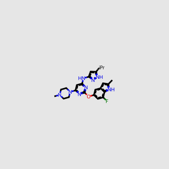 Cc1cc2cc(Oc3nc(Nc4cc(C(C)C)[nH]n4)cc(N4CCN(C)CC4)n3)cc(F)c2[nH]1